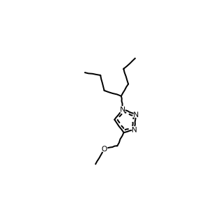 CCCC(CCC)n1cc(COC)nn1